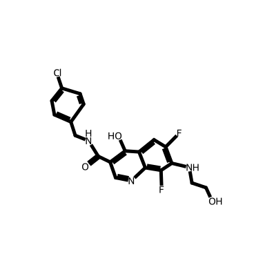 O=C(NCc1ccc(Cl)cc1)c1cnc2c(F)c(NCCO)c(F)cc2c1O